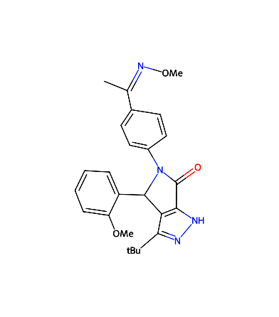 CO/N=C(/C)c1ccc(N2C(=O)c3[nH]nc(C(C)(C)C)c3C2c2ccccc2OC)cc1